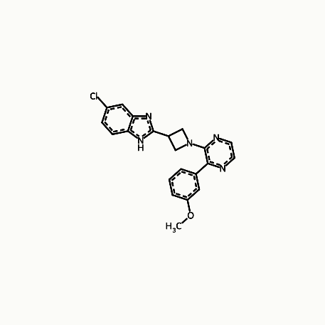 COc1cccc(-c2nccnc2N2CC(c3nc4cc(Cl)ccc4[nH]3)C2)c1